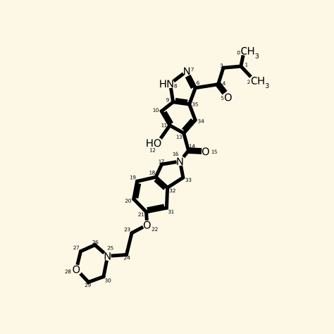 CC(C)CC(=O)c1n[nH]c2cc(O)c(C(=O)N3Cc4ccc(OCCN5CCOCC5)cc4C3)cc12